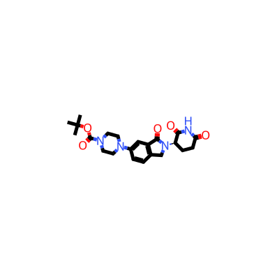 CC(C)(C)OC(=O)N1CCN(c2ccc3c(c2)C(=O)N([C@H]2CCC(=O)NC2=O)C3)CC1